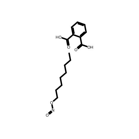 CCCCCCCCON=O.O=C(O)c1ccccc1C(=O)O